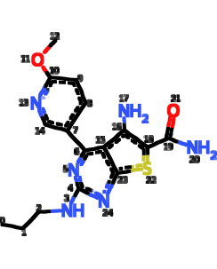 CCCNc1nc(-c2ccc(OC)nc2)c2c(N)c(C(N)=O)sc2n1